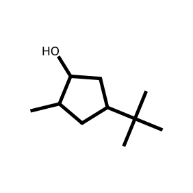 CC1CC(C(C)(C)C)CC1O